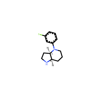 Fc1cccc(N2CCC[C@H]3NCC[C@H]32)c1